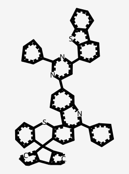 c1ccc(-c2nc(-c3ccc4c(c3)nc(-c3ccccc3)c3ccc5c(c34)Sc3ccccc3C53c4ccccc4-c4ccccc43)cc(-c3cccc4c3sc3ccccc34)n2)cc1